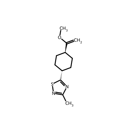 C=C(OC)[C@H]1CC[C@H](c2nc(C)ns2)CC1